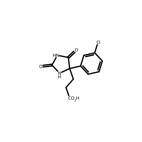 O=C(O)CCC1(c2cccc(Cl)c2)NC(=O)NC1=O